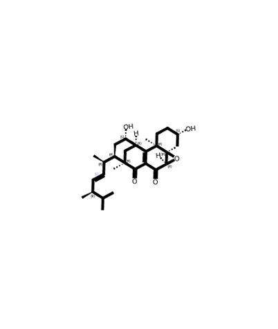 CC(C)[C@@H](C)/C=C/[C@@H](C)[C@H]1C[C@H](O)[C@@H]2C[C@@]1(C)C(=O)C1=C2[C@@]2(C)CC[C@H](O)C[C@@]23O[C@H]3C1=O